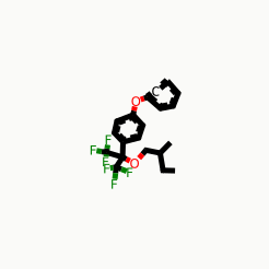 CCC(C)COC(c1ccc(Oc2ccccc2)cc1)(C(F)(F)F)C(F)(F)F